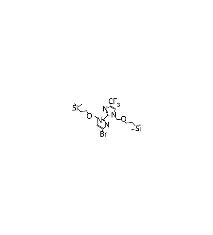 C[Si](C)(C)CCOCn1cc(Br)nc1-c1nc(C(F)(F)F)cn1COCC[Si](C)(C)C